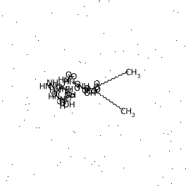 CCCCCCCCCCCCCCCCCC(=O)OCC(COP(=O)(O)OCCNC(=O)OCCNc1c(NCCCC[C@@H]2NC(=O)[C@@H](Cc3ccccc3)NC(=O)[C@H](CC(=O)O)NC(=O)CNC(=O)[C@H](CCCNC(=N)N)NC2=O)c(=O)c1=O)OC(=O)CCCCCCCCCCCCCCCCC